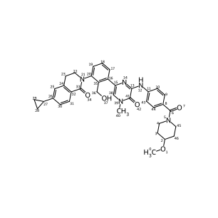 COC1CCN(C(=O)c2ccc(Nc3nc(-c4cccc(N5CCc6cc(C7CC7)ccc6C5=O)c4CO)cn(C)c3=O)cc2)CC1